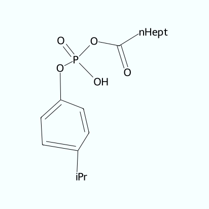 CCCCCCCC(=O)OP(=O)(O)Oc1ccc(C(C)C)cc1